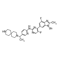 Cc1nc2c(F)cc(-c3nc(Nc4ccc(C(C)N5CCC6(CCNCC6)CC5)cn4)ncc3F)cc2n1C(C)C